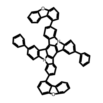 c1ccc(-c2ccc3c(c2)c2c4c5ccc(-c6cccc7oc8ccccc8c67)cc5n5c6ccc(-c7ccccc7)cc6c(c6c7ccc(-c8cccc9oc%10ccccc%10c89)cc7n3c26)c45)cc1